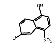 O=[N+]([O-])c1ccc(O)c2ccc(Cl)cc12